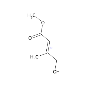 COC(=O)/C=C(\C)CO